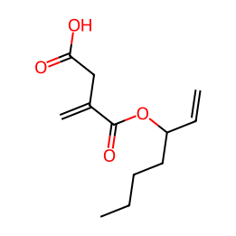 C=CC(CCCC)OC(=O)C(=C)CC(=O)O